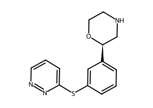 c1cc(Sc2cccnn2)cc([C@@H]2CNCCO2)c1